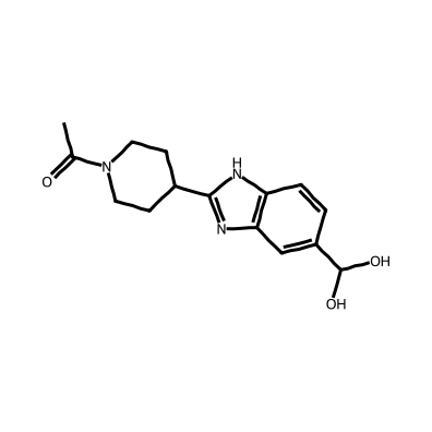 CC(=O)N1CCC(c2nc3cc(C(O)O)ccc3[nH]2)CC1